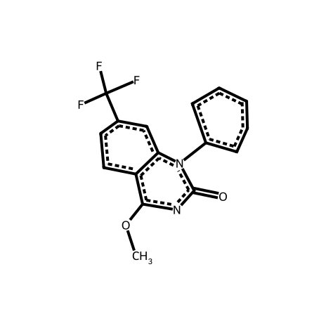 COc1nc(=O)n(-c2ccccc2)c2cc(C(F)(F)F)ccc12